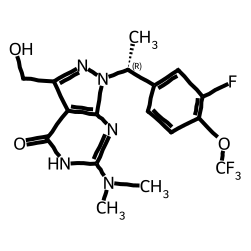 C[C@H](c1ccc(OC(F)(F)F)c(F)c1)n1nc(CO)c2c(=O)[nH]c(N(C)C)nc21